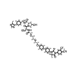 Cc1ncsc1-c1ccc(CNC(=O)[C@@H]2C[C@@H](O)CN2C(=O)[C@@H](NC(=O)COCCOCCOc2ccc(-c3ccc(N4C(=S)N(c5ccc(C#N)c(C(F)(F)F)c5)C(=O)C4(C)C)cc3)cc2)C(C)(C)C)cc1